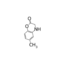 Cc1ccc2c(c1)NCC(=O)O2